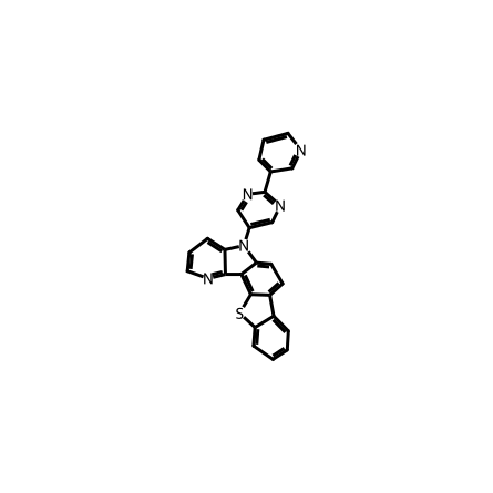 c1cncc(-c2ncc(-n3c4cccnc4c4c5sc6ccccc6c5ccc43)cn2)c1